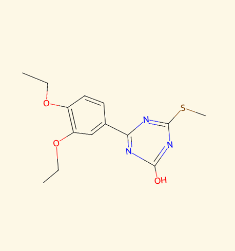 CCOc1ccc(-c2nc(O)nc(SC)n2)cc1OCC